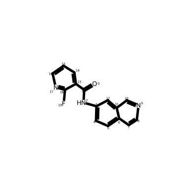 O=C(Nc1ccc2ccncc2c1)c1cccnc1F